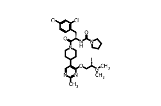 Cc1ncc(C2CCN(C(=O)[C@@H](Cc3ccc(Cl)cc3Cl)NC(=O)N3CCCC3)CC2)c(OC[C@@H](I)N(C)C)n1